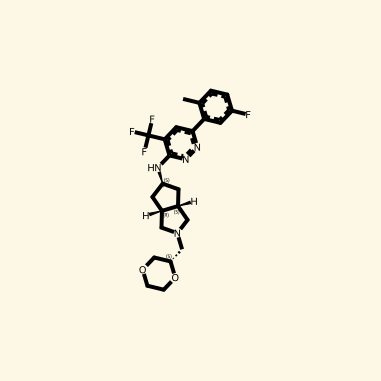 Cc1ccc(F)cc1-c1cc(C(F)(F)F)c(N[C@H]2C[C@@H]3CN(C[C@H]4COCCO4)C[C@@H]3C2)nn1